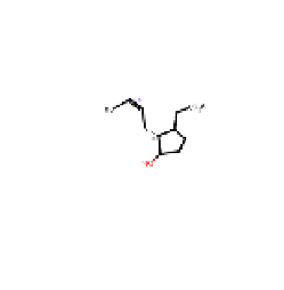 CC/C=C\C[C@H]1C(O)CCC1CC(=O)O